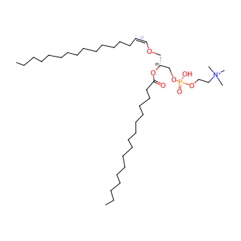 CCCCCCCCCCCCCC/C=C\OC[C@H](COP(=O)(O)OCC[N+](C)(C)C)OC(=O)CCCCCCCCCCCCCCC